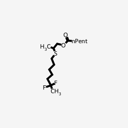 CCCCCC(=O)OCC(C)SCCCCCC(C)(F)F